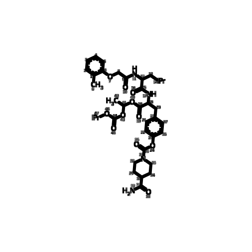 Cc1ccccc1OCC(=O)NC(CC(C)C)C(=O)NC(Cc1ccc(OC(=O)N2CCC(C(N)=O)CC2)cc1)C(=O)OC(C)OC(=O)OC(C)C